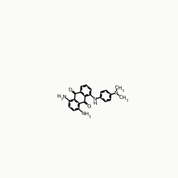 CN(C)c1ccc(Nc2cccc3c2C(=O)c2c(N)ccc(N)c2C3=O)cc1